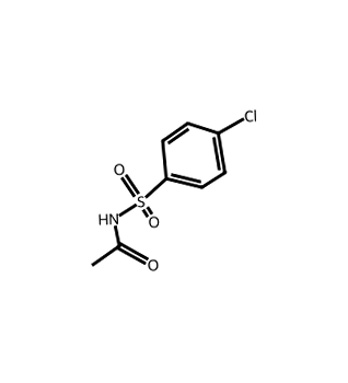 CC(=O)NS(=O)(=O)c1ccc(Cl)cc1